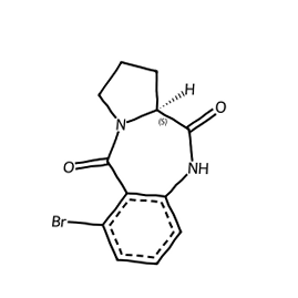 O=C1Nc2cccc(Br)c2C(=O)N2CCC[C@@H]12